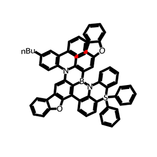 CCCCc1ccc(N2c3cc4c(cc3B3c5c2cc2c(oc6ccccc62)c5-c2cccc5c2N3c2ccccc2S5(c2ccccc2)c2ccccc2)oc2ccccc24)c(-c2ccccc2)c1